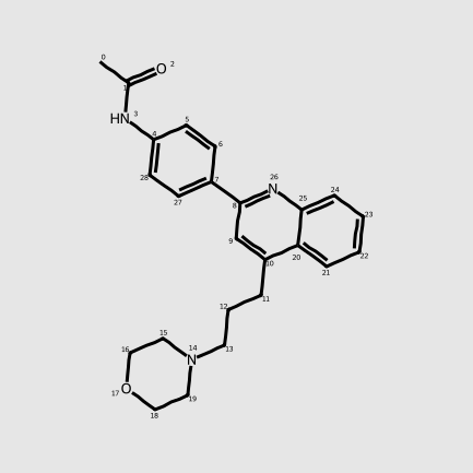 CC(=O)Nc1ccc(-c2cc(CCCN3CCOCC3)c3ccccc3n2)cc1